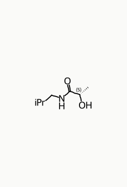 CC(C)CNC(=O)[C@H](C)O